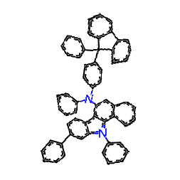 c1ccc(-c2ccc3c4c(N(c5ccccc5)c5ccc(C6(c7ccccc7)c7ccccc7-c7ccccc76)cc5)cc5ccccc5c4n(-c4ccccc4)c3c2)cc1